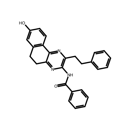 O=C(Nc1nc2c(nc1CCc1ccccc1)-c1ccc(O)cc1CC2)c1ccccc1